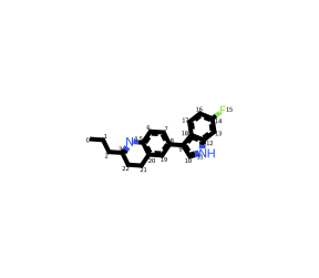 CCCC1=Nc2ccc(-c3c[nH]c4cc(F)ccc34)cc2CC1